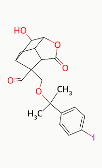 CC(C)(OCC1(C=O)C2CC3C(OC(=O)C31)C2O)c1ccc(I)cc1